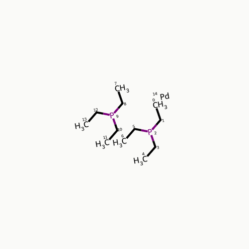 CCP(CC)CC.CCP(CC)CC.[Pd]